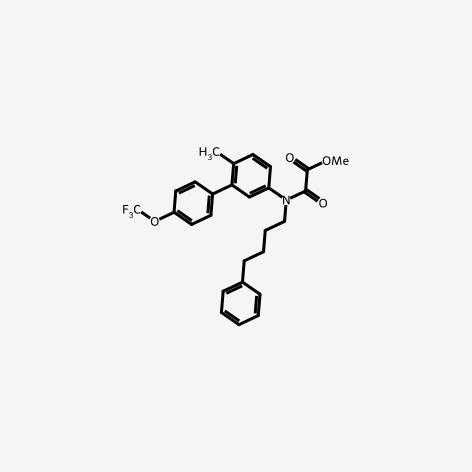 COC(=O)C(=O)N(CCCCc1ccccc1)c1ccc(C)c(-c2ccc(OC(F)(F)F)cc2)c1